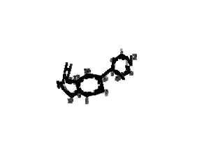 [c]1cncnc1-c1ccc2cn[nH]c2c1